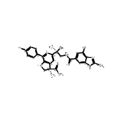 Cc1nc2c(Cl)cc(C(=O)NC[C@](O)(c3cc4c(c(-c5ccc(F)cc5)n3)OC[C@]4(C)C(N)=O)C(F)(F)F)cc2[nH]1